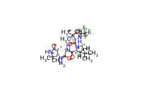 CC1(C)C[C@@H](C[C@H](NC(=O)[C@@H]2[C@@H]3[C@H](CN2C(=O)[C@@H](NC(=O)C(F)(F)F)C(C)(C)C)C3(C)C)C(N)=O)C(=O)N1